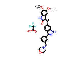 COc1cc2c(cc1OC)[C@]1(C[C@H]1c1ccc3c(-c4cccc(CN5CCOCC5)c4)n[nH]c3c1)C(=O)N2.O=C(O)C(F)(F)F